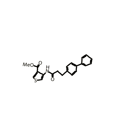 COC(=O)c1cscc1NC(=O)CCc1ccc(-c2ccccc2)cc1